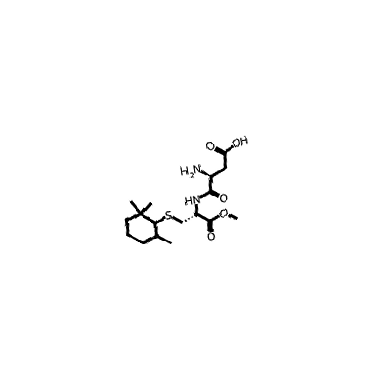 COC(=O)[C@H](CSC1C(C)CCCC1(C)C)NC(=O)[C@@H](N)CC(=O)O